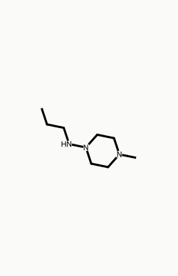 CCCNN1CCN(C)CC1